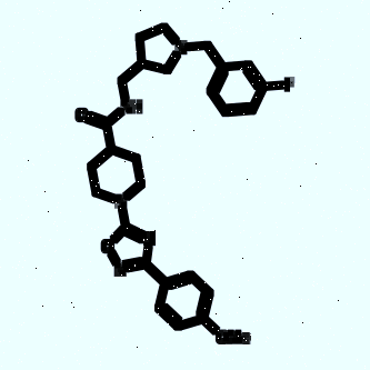 COc1ccc(-c2noc(N3CCC(C(=O)NCC4CCN(Cc5cccc(F)c5)C4)CC3)n2)cc1